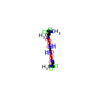 Cc1cc(C2CN(C)Cc3c(Cl)cc(Cl)cc32)ccc1CCN(C=O)CCOCCOCCNC(=O)NCCCCNC(=O)NCCOCCOCCN1CCc2ccc(C3CN(C)Cc4c(Cl)cc(Cl)cc43)cc2C1=O